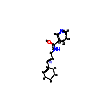 O=C(NC/C=C/C1=CCCCC1)c1cccnc1